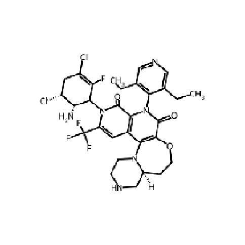 CCc1cncc(CC)c1-n1c(=O)c2c(c3cc(C(F)(F)F)n(C4C(F)=C(Cl)C[C@@H](Cl)[C@H]4N)c(=O)c31)N1CCNC[C@@H]1CCO2